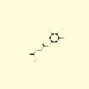 COc1c(I)cc(NC(=O)CNC(=O)OC(C)(C)C)cc1C(C)(C)C